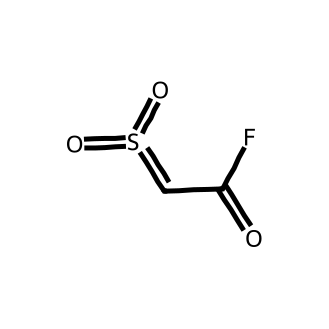 O=C(F)C=S(=O)=O